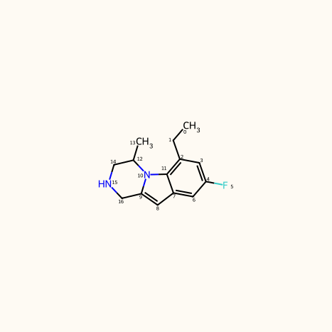 CCc1cc(F)cc2cc3n(c12)C(C)CNC3